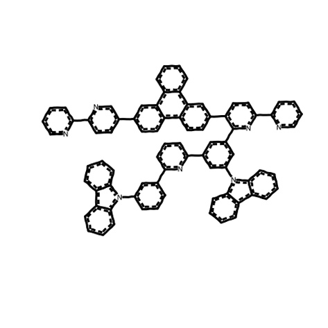 c1ccc(-c2ccc(-c3ccc4c5ccc(-c6ccc(-c7ccccn7)nc6-c6cc(-c7cccc(-c8cccc(-n9c%10ccccc%10c%10ccccc%109)c8)n7)cc(-n7c8ccccc8c8ccccc87)c6)cc5c5ccccc5c4c3)cn2)nc1